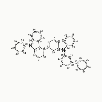 C1=CC2C(C(C3=CC=C4c5ccccc5N(c5cccc(-c6ccccc6)c5)C4C3)=C1)c1ccccc1N2c1ccccc1